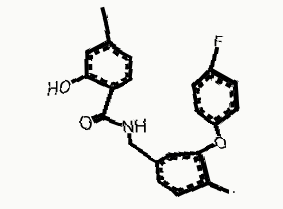 [CH2]c1ccc(CNC(=O)c2ccc(C)cc2O)cc1Oc1ccc(F)cc1